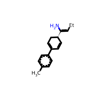 CCC=C(N)[C@@H]1C=CC(c2ccc(C)cc2)=CC1